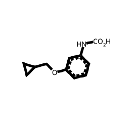 O=C(O)Nc1cccc(OCC2CC2)c1